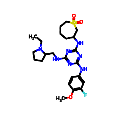 CCN1CCCC1CNc1nc(Nc2ccc(OC)c(F)c2)nc(NC2CCCCS(=O)(=O)C2)n1